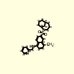 O=S(=O)(c1ccc2c(NCc3ccccn3)cccc2c1)N1CCCC2CCCC1C2.[CH2]